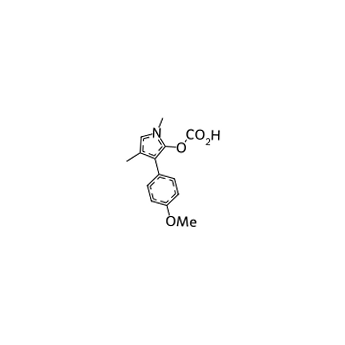 COc1ccc(-c2c(C)cn(C)c2OC(=O)O)cc1